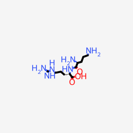 N=C(N)NCCC[C@H](NC(=O)[C@@H](N)CCCN)C(=O)O